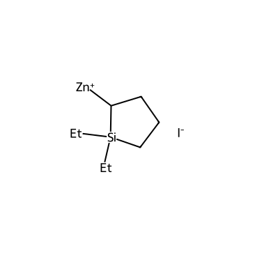 CC[Si]1(CC)CCC[CH]1[Zn+].[I-]